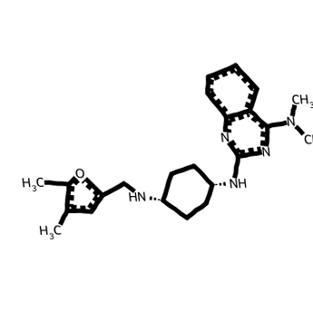 Cc1cc(CN[C@H]2CC[C@@H](Nc3nc(N(C)C)c4ccccc4n3)CC2)oc1C